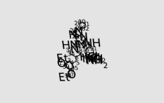 CCOc1cc(CC2CCN(Nc3nc(NC4CCC(N)CC4)nc4c3ncn4C3CCCC3)CC2)cc(OCC)c1.Cl.Cl.Cl